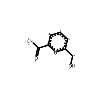 NC(=O)c1cccc(CO)n1